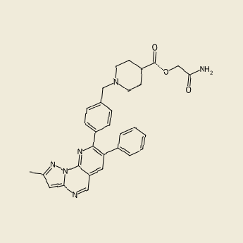 Cc1cc2ncc3cc(-c4ccccc4)c(-c4ccc(CN5CCC(C(=O)OCC(N)=O)CC5)cc4)nc3n2n1